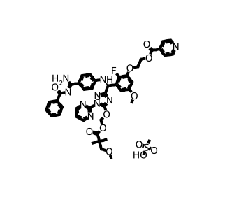 COCC(C)(C)C(=O)OCOc1nc([C@H](Nc2ccc(/C(N)=N/C(=O)c3ccccc3)cc2)c2cc(OC)cc(OCCOC(=O)c3ccncc3)c2F)nn1-c1ncccn1.CS(=O)(=O)O